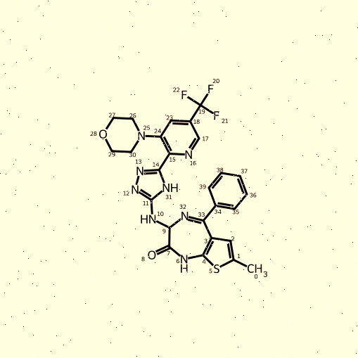 Cc1cc2c(s1)NC(=O)C(Nc1nnc(-c3ncc(C(F)(F)F)cc3N3CCOCC3)[nH]1)N=C2c1ccccc1